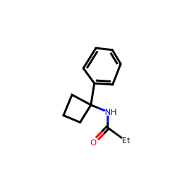 CCC(=O)NC1(c2ccccc2)CCC1